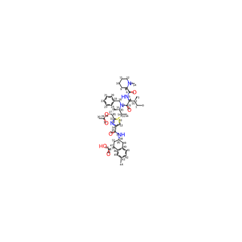 CC[C@H](C)[C@H](NC(=O)[C@H]1CCCCN1C)C(=O)N(Cc1ccccc1)[C@H](C[C@@H](OC(C)=O)c1nc(C(=O)N[C@H]2Cc3ccc(C)cc3[C@H](C(=O)O)C2)cs1)C(C)C